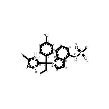 CCC(c1ccc(Cl)cc1)(c1nnc(C)[nH]1)n1ccc2c(NS(C)(=O)=O)cccc21